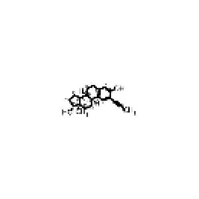 CC#Cc1cc2c(cc1O)CC[C@@H]1[C@@H]2CC[C@]2(C)[C@@H](O)CC[C@@H]12